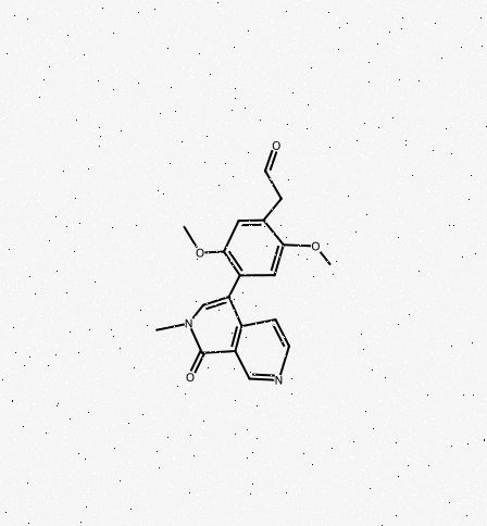 COc1cc(-c2cn(C)c(=O)c3cnccc23)c(OC)cc1CC=O